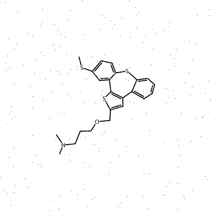 CSc1ccc2c(c1)-c1sc(COCCCN(C)C)cc1-c1ccccc1S2